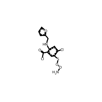 NOOSc1cc(C(=O)Cl)c(NCc2ccco2)cc1Cl